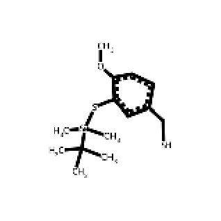 COc1ccc(CS)cc1S[Si](C)(C)C(C)(C)C